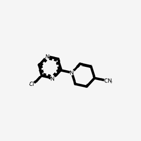 N#CC1CCN(c2cncc(Cl)n2)CC1